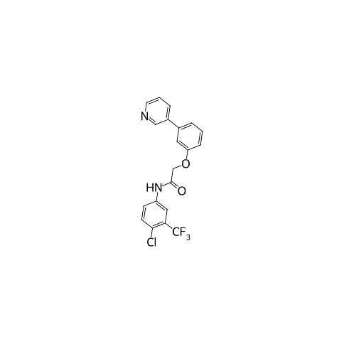 O=C(COc1cccc(-c2cccnc2)c1)Nc1ccc(Cl)c(C(F)(F)F)c1